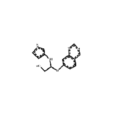 OCC(Nc1cc[nH]c1)Oc1ccc2cncnc2c1